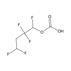 O=C(O)OC(F)C(F)(F)CC(F)F